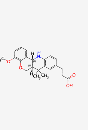 COc1cccc2c1OC[C@@H]1[C@H]2Nc2ccc(CCC(=O)O)cc2C1(C)C